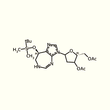 CC(=O)OC[C@H]1OC(n2cnc3c2N=CNC[C@H]3O[Si](C)(C)C(C)(C)C)CC1OC(C)=O